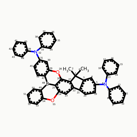 CC1(C)c2cc(N(c3ccccc3)c3ccccc3)ccc2-c2cc3c4c(c21)Oc1cc(N(c2ccccc2)c2ccccc2)ccc1B4c1ccccc1O3